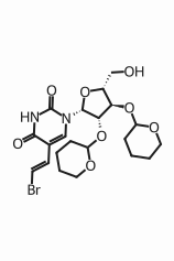 O=c1[nH]c(=O)n([C@@H]2O[C@H](CO)[C@@H](OC3CCCCO3)[C@@H]2OC2CCCCO2)cc1/C=C/Br